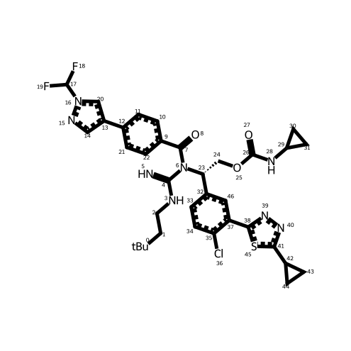 CC(C)(C)CCNC(=N)N(C(=O)c1ccc(-c2cnn(C(F)F)c2)cc1)[C@H](COC(=O)NC1CC1)c1ccc(Cl)c(-c2nnc(C3CC3)s2)c1